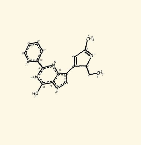 CCC1N=C(C)C=C1c1csc2c(O)nc(-c3ccccn3)nc12